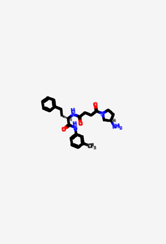 N[C@@H]1CCN(C(=O)CCC(=O)N[C@@H](CCc2ccccc2)C(=O)Nc2cccc(C(F)(F)F)c2)C1